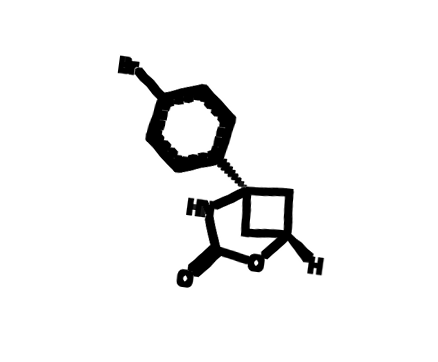 O=C1N[C@]2(c3ccc(Br)cc3)C[C@H](C2)O1